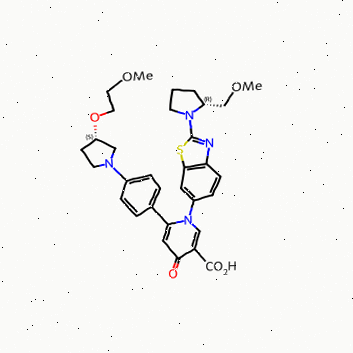 COCCO[C@H]1CCN(c2ccc(-c3cc(=O)c(C(=O)O)cn3-c3ccc4nc(N5CCC[C@@H]5COC)sc4c3)cc2)C1